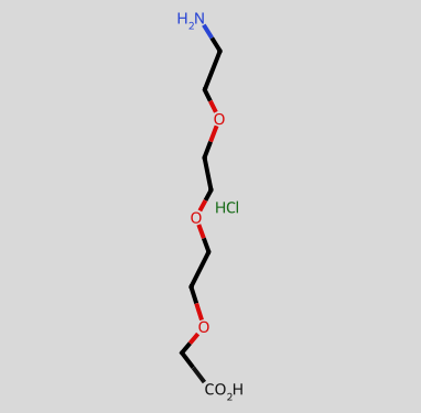 Cl.NCCOCCOCCOCC(=O)O